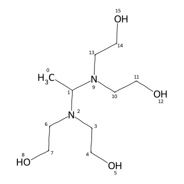 CC(N(CCO)CCO)N(CCO)CCO